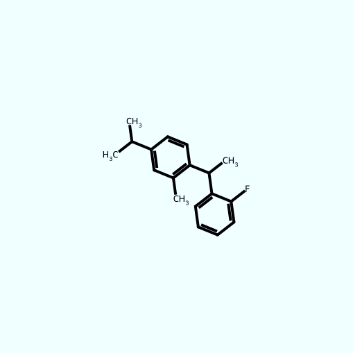 Cc1cc(C(C)C)ccc1C(C)c1ccccc1F